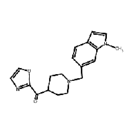 Cn1ccc2ccc(CN3CCC(C(=O)c4ncco4)CC3)cc21